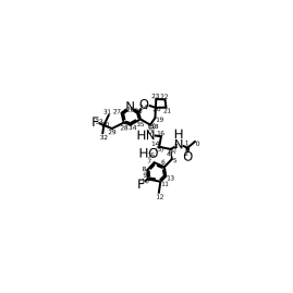 CC(=O)N[C@@H](Cc1ccc(F)c(C)c1)[C@@H](O)CN[C@H]1CC2(CCC2)Oc2ncc(CC(C)(C)F)cc21